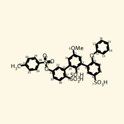 COc1cc(-c2cc(S(=O)(=O)O)ccc2Oc2ccccc2)c(S(=O)(=O)O)c(-c2cc(OS(=O)(=O)c3ccc(C)cc3)ccc2S(=O)(=O)O)c1